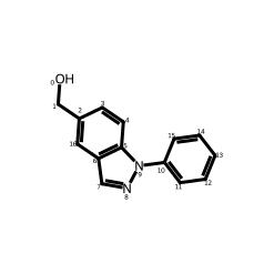 OCc1ccc2c(cnn2-c2ccccc2)c1